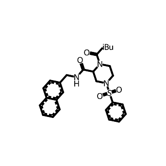 CCC(C)C(=O)N1CCN(S(=O)(=O)c2ccccc2)CC1C(=O)NCc1ccc2ccccc2c1